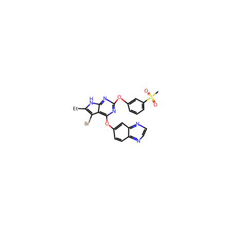 CCc1[nH]c2nc(Oc3cccc(S(C)(=O)=O)c3)nc(Oc3ccc4nccnc4c3)c2c1Br